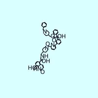 O=C(c1cccc(-c2cccc([C@](O)(C(=O)OCC3CCN(Cc4ccccc4)CC3)c3ccccc3)c2)n1)N1CCC(CNC[C@H](O)c2ccc(O)c3[nH]c(=O)ccc23)CC1